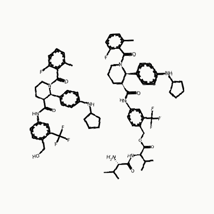 Cc1cccc(F)c1C(=O)N1CCCC(C(=O)Nc2ccc(CO)c(C(F)(F)F)c2)C1c1ccc(NC2CCCC2)cc1.Cc1cccc(F)c1C(=O)N1CCC[C@H](C(=O)Nc2ccc(COC(=O)[C@H](NC(=O)[C@@H](N)C(C)C)C(C)C)c(C(F)(F)F)c2)[C@@H]1c1ccc(NC2CCCC2)cc1